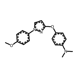 COc1ccc(-n2ccc(Oc3ccc(N(C)C)cc3)n2)cc1